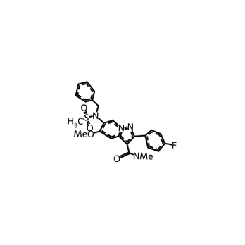 CNC(=O)c1c(-c2ccc(F)cc2)nn2cc(N(Cc3ccccc3)S(C)(=O)=O)c(OC)cc12